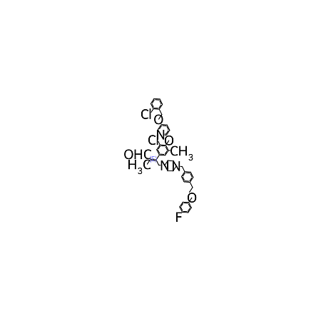 C/C(C=O)=C(\CN1CCN(Cc2ccc(CCOc3ccc(F)cc3)cc2)CC1)c1cc(C)c(Oc2ccc(OCc3ccccc3Cl)cn2)c(Cl)c1